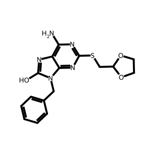 Nc1nc(SCC2OCCO2)nc2c1nc(O)n2Cc1ccccc1